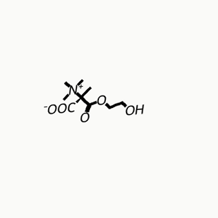 C[C@](C(=O)[O-])(C(=O)OCCO)[N+](C)(C)C